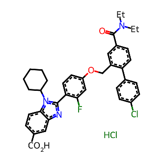 CCN(CC)C(=O)c1ccc(-c2ccc(Cl)cc2)c(COc2ccc(-c3nc4cc(C(=O)O)ccc4n3C3CCCCC3)c(F)c2)c1.Cl